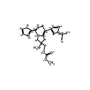 COC(=O)OCC1(N)CC2=C(c3cnn(C(F)F)c3)CN=C(c3nccs3)N2C1